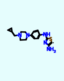 Nc1[c]sc(Nc2ccc(N3CCN(CC4CC4)CC3)cc2)n1